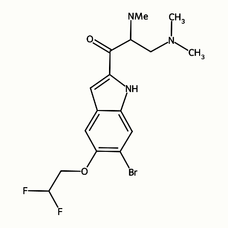 CNC(CN(C)C)C(=O)c1cc2cc(OCC(F)F)c(Br)cc2[nH]1